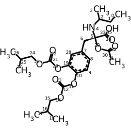 CCC(C)N[C@@](Cc1ccc(OC(=O)OCC(C)C)c(OC(=O)OCC(C)C)c1)(OC(C)=O)C(=O)O